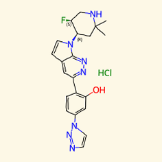 CC1(C)C[C@@H](n2ccc3cc(-c4ccc(-n5ccnn5)cc4O)nnc32)[C@@H](F)CN1.Cl